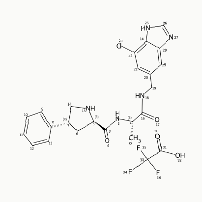 C[C@H](NC(=O)[C@H]1C[C@H](c2ccccc2)CN1)C(=O)NCc1cc(Cl)c2[nH]cnc2c1.O=C(O)C(F)(F)F